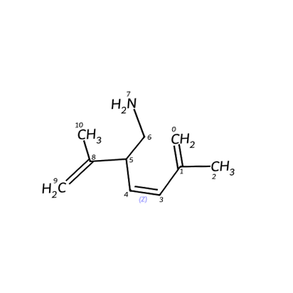 C=C(C)/C=C\C(CN)C(=C)C